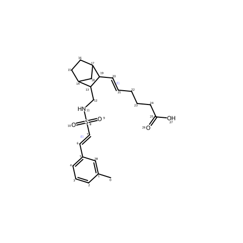 Cc1cccc(/C=C/S(=O)(=O)NCC2C3CCC(C3)C2/C=C/CCCC(=O)O)c1